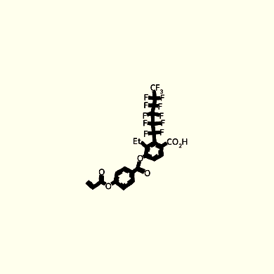 C=CC(=O)Oc1ccc(C(=O)Oc2ccc(C(=O)O)c(C(F)(F)C(F)(F)C(F)(F)C(F)(F)C(F)(F)C(F)(F)F)c2CC)cc1